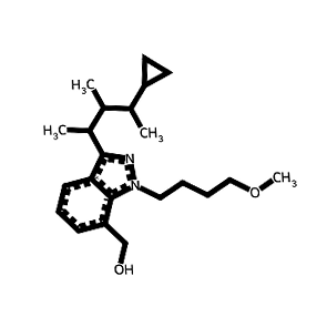 COCCCCn1nc(C(C)C(C)C(C)C2CC2)c2cccc(CO)c21